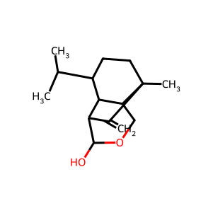 C=C1C2C(O)OCC3C2C(C(C)C)CCC13C